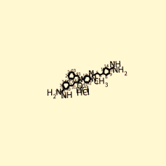 Cl.Cl.Cn1c(CCc2ccc(C(=N)N)cc2)nc2cc(N(Cc3ccccc3)C(=O)CCc3cccc(C(=N)N)c3)ccc21